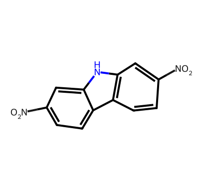 O=[N+]([O-])c1ccc2c(c1)[nH]c1cc([N+](=O)[O-])ccc12